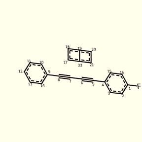 Fc1ccc(C#CC#Cc2ccccc2)cc1.c1cc2ccc1-2